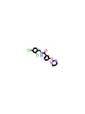 O=C(NCc1ccc(Cl)cc1Cl)c1cccc(Oc2ncccn2)c1